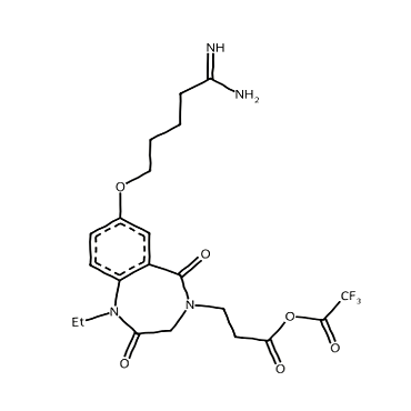 CCN1C(=O)CN(CCC(=O)OC(=O)C(F)(F)F)C(=O)c2cc(OCCCCC(=N)N)ccc21